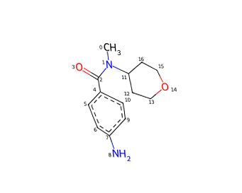 CN(C(=O)c1ccc(N)cc1)C1CCOCC1